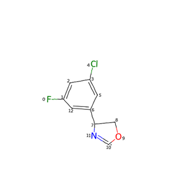 Fc1cc(Cl)cc(C2CO[C]=N2)c1